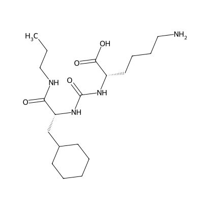 CCCNC(=O)[C@@H](CC1CCCCC1)NC(=O)N[C@@H](CCCCN)C(=O)O